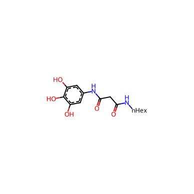 CCCCCCNC(=O)CC(=O)Nc1cc(O)c(O)c(O)c1